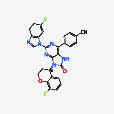 N#Cc1ccc(-c2nc(-n3cnc4c3C=C(F)CC4)nc3c2[nH]c(=O)n3[C@@H]2CCOc3c(F)cccc32)cc1